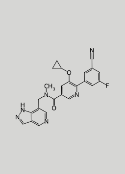 CN(Cc1cncc2cn[nH]c12)C(=O)c1cnc(-c2cc(F)cc(C#N)c2)c(OC2CC2)c1